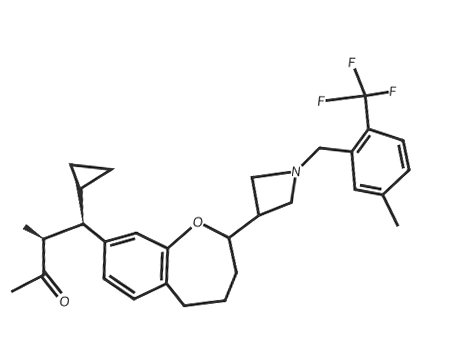 CC(=O)[C@@H](C)[C@H](c1ccc2c(c1)OC(C1CN(Cc3cc(C)ccc3C(F)(F)F)C1)CCC2)C1CC1